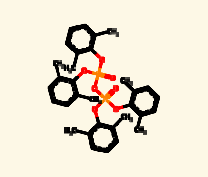 Cc1cccc(C)c1OP(=O)(Oc1c(C)cccc1C)OP(=O)(Oc1c(C)cccc1C)Oc1c(C)cccc1C